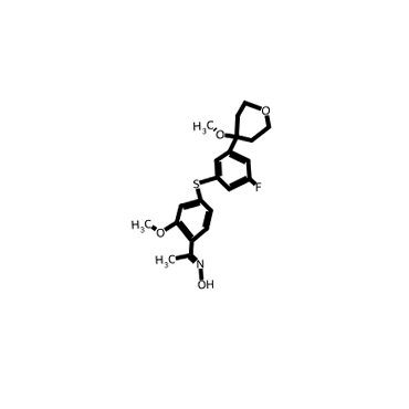 COc1cc(Sc2cc(F)cc(C3(OC)CCOCC3)c2)ccc1C(C)=NO